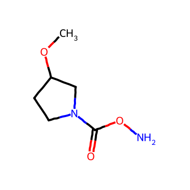 COC1CCN(C(=O)ON)C1